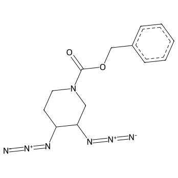 [N-]=[N+]=NC1CCN(C(=O)OCc2ccccc2)CC1N=[N+]=[N-]